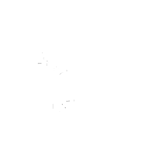 CCCCCCCCCCCC(C[C@@H]1OC(=O)[C@H]1CCCCCC)OC(=O)CCSCCC(N)=O